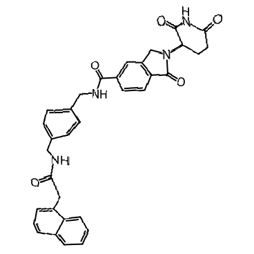 O=C(Cc1cccc2ccccc12)NCc1ccc(CNC(=O)c2ccc3c(c2)CN(C2CCC(=O)NC2=O)C3=O)cc1